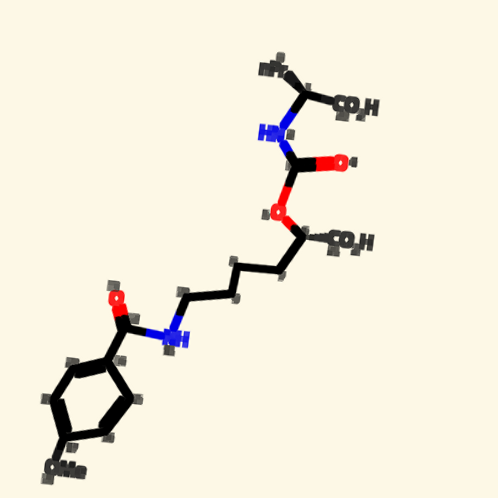 CCC[C@H](NC(=O)O[C@@H](CCCCNC(=O)c1ccc(OC)cc1)C(=O)O)C(=O)O